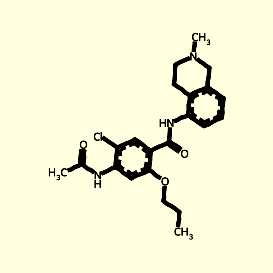 CCCOc1cc(NC(C)=O)c(Cl)cc1C(=O)Nc1cccc2c1CCN(C)C2